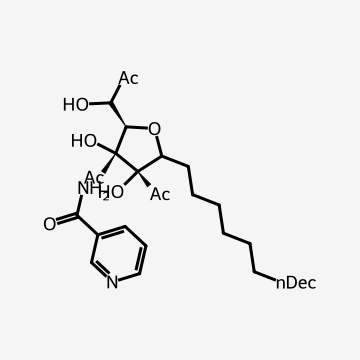 CCCCCCCCCCCCCCCCC1O[C@H](C(O)C(C)=O)[C@](O)(C(C)=O)[C@]1(O)C(C)=O.NC(=O)c1cccnc1